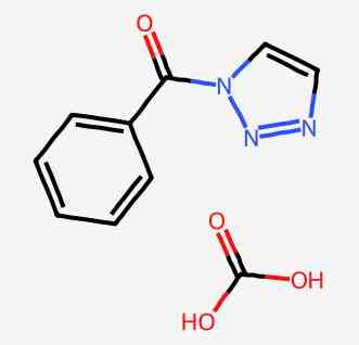 O=C(O)O.O=C(c1ccccc1)n1ccnn1